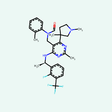 Cc1nc(N[C@H](C)c2cccc(C(F)(F)F)c2F)c(CN(C=O)c2ccccc2C)c(C2(C)CCN(C)C2)n1